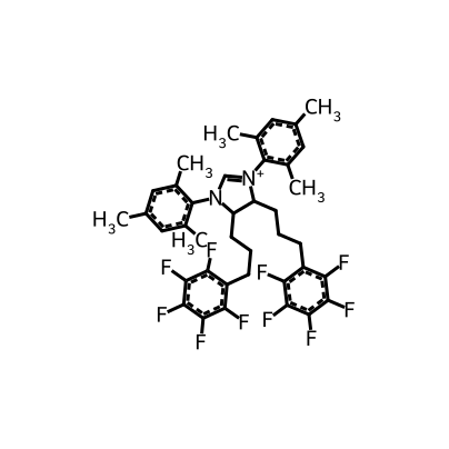 Cc1cc(C)c(N2C=[N+](c3c(C)cc(C)cc3C)C(CCCc3c(F)c(F)c(F)c(F)c3F)C2CCCc2c(F)c(F)c(F)c(F)c2F)c(C)c1